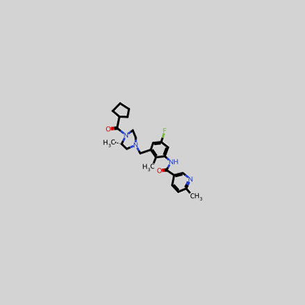 Cc1ccc(C(=O)Nc2cc(F)cc(CN3CCN(C(=O)C4CCCC4)[C@@H](C)C3)c2C)cn1